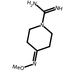 CON=C1CCN(C(=N)N)CC1